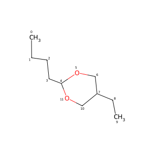 CCCCC1OCC(CC)CO1